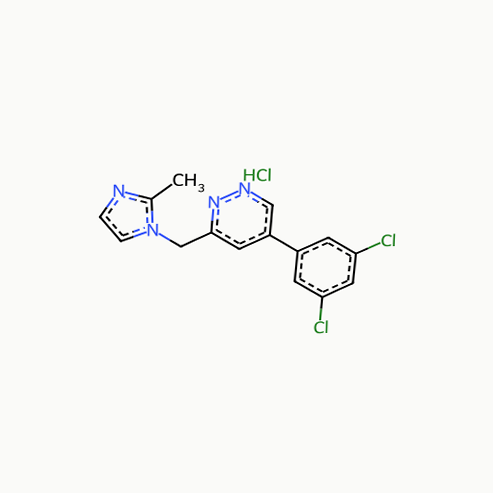 Cc1nccn1Cc1cc(-c2cc(Cl)cc(Cl)c2)cnn1.Cl